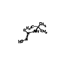 CC(C)(C)N[N+]([O-])=NO